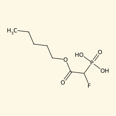 CCCCCOC(=O)C(F)P(=O)(O)O